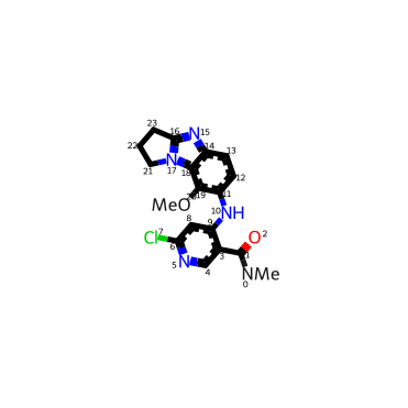 CNC(=O)c1cnc(Cl)cc1Nc1ccc2nc3n(c2c1OC)CCC3